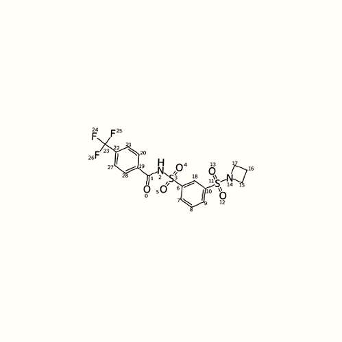 O=C(NS(=O)(=O)c1cccc(S(=O)(=O)N2CCC2)c1)c1ccc(C(F)(F)F)cc1